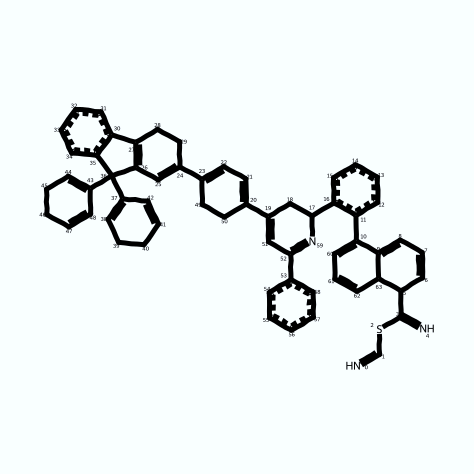 N=CSC(=N)C1C=CC=C2C(c3ccccc3C3CC(C4=CC=C(C5=CC6=C(CC5)c5ccccc5C6(C5=CCCC=C5)C5=CCCC=C5)CC4)=CC(c4ccccc4)=N3)=CC=CC21